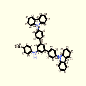 CC(C)(C)c1ccc(Nc2cc(-c3ccc(-n4c5ccccc5c5ccccc54)cc3)cc(-c3ccc(-n4c5ccccc5c5ccccc54)cc3)c2)cc1